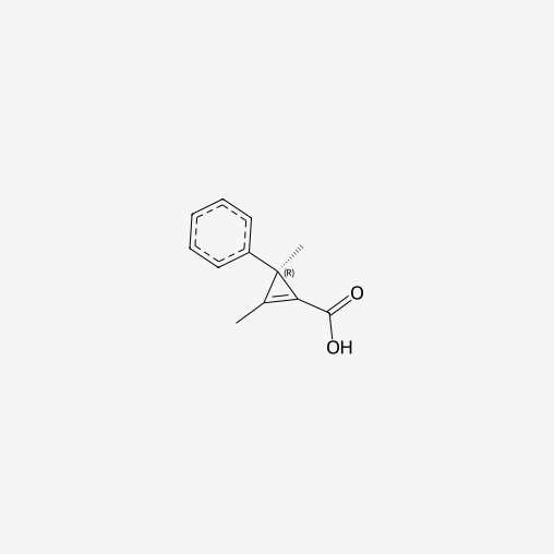 CC1=C(C(=O)O)[C@]1(C)c1ccccc1